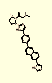 C=C(CNC)N1[C@@H](C)CC[C@H]1c1ncc(-c2ccc(-c3ccc4cc(-c5cnc[nH]5)ccc4c3)cc2)[nH]1